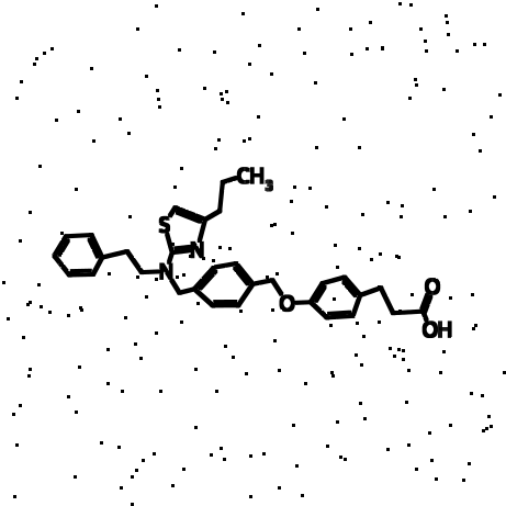 CCCc1csc(N(CCc2ccccc2)Cc2ccc(COc3ccc(CCC(=O)O)cc3)cc2)n1